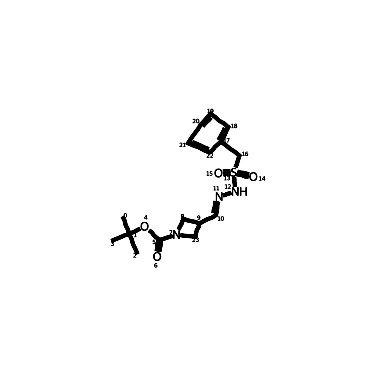 CC(C)(C)OC(=O)N1CC(/C=N/NS(=O)(=O)Cc2ccccc2)C1